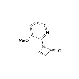 COc1cccnc1N1C=CC1=O